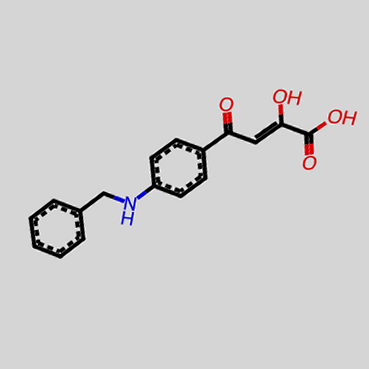 O=C(O)C(O)=CC(=O)c1ccc(NCc2ccccc2)cc1